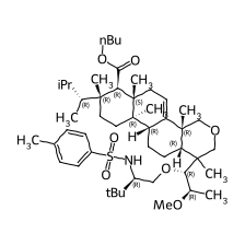 CCCCOC(=O)[C@@H]1[C@@](C)([C@H](C)C(C)C)CC[C@]2(C)[C@H]3CC[C@H]4C(C)([C@@H](OC[C@H](NS(=O)(=O)c5ccc(C)cc5)C(C)(C)C)[C@@H](C)OC)COC[C@@]4(C)C3=CC[C@@]12C